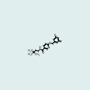 CC(C)(C)CCNC(=O)c1ccc(OCc2cc(F)cc(F)c2)nc1